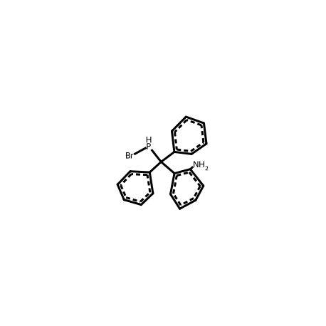 Nc1ccccc1C(PBr)(c1ccccc1)c1ccccc1